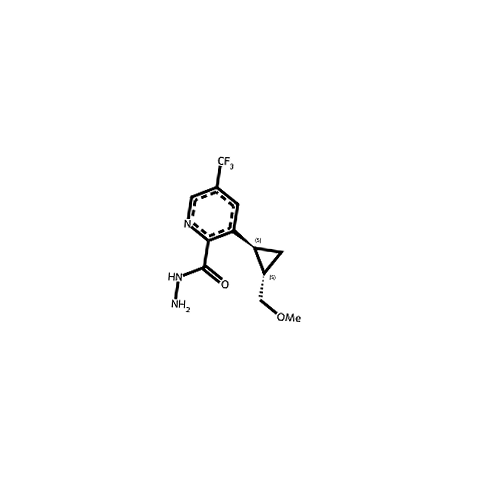 COC[C@H]1C[C@@H]1c1cc(C(F)(F)F)cnc1C(=O)NN